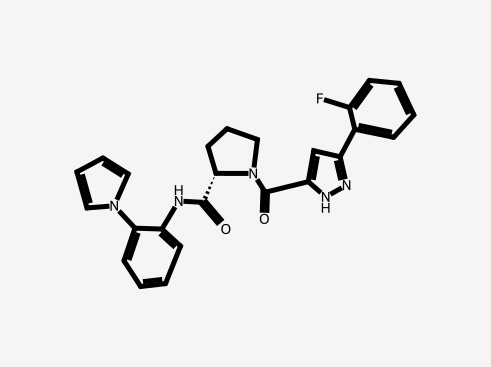 O=C(Nc1ccccc1-n1cccc1)[C@@H]1CCCN1C(=O)c1cc(-c2ccccc2F)n[nH]1